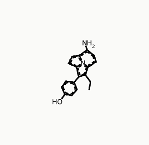 CCc1c(-c2ccc(O)cc2)c2ccc3c(N)ccc1n32